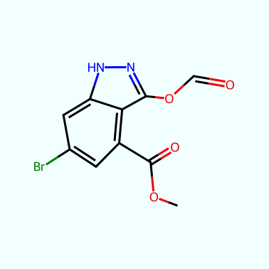 COC(=O)c1cc(Br)cc2[nH]nc(OC=O)c12